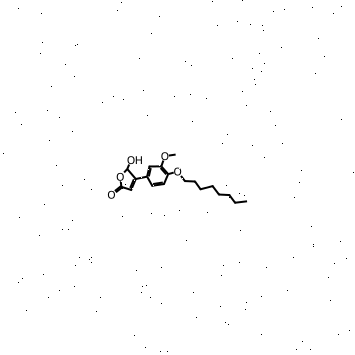 CCCCCCCCOc1ccc(C2=CC(=O)OC2O)cc1OC